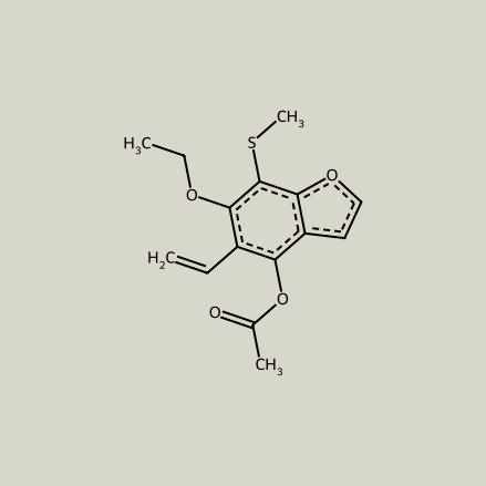 C=Cc1c(OCC)c(SC)c2occc2c1OC(C)=O